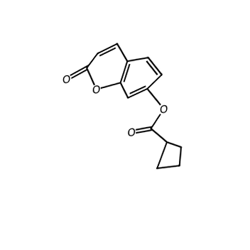 O=C(Oc1ccc2ccc(=O)oc2c1)C1CCC1